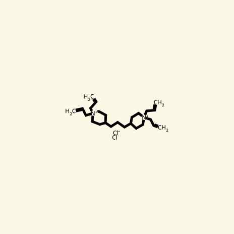 C=CC[N+]1(CC=C)CCC(CCCC2CC[N+](CC=C)(CC=C)CC2)CC1.[Cl-].[Cl-]